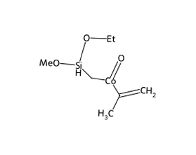 C=[C](C)[Co](=[O])[CH2][SiH](OC)OCC